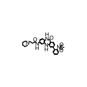 CN(c1ccccc1-c1ccc2c(c1)Nc1cc(NC(=O)CCN3CCCCC3)ccc1NC2=O)S(C)(=O)=O